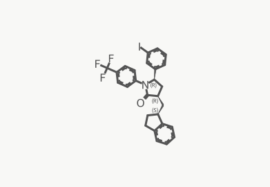 O=C1[C@H](C[C@@H]2CCc3ccccc32)C[C@H](c2cccc(I)c2)N1c1ccc(C(F)(F)F)cc1